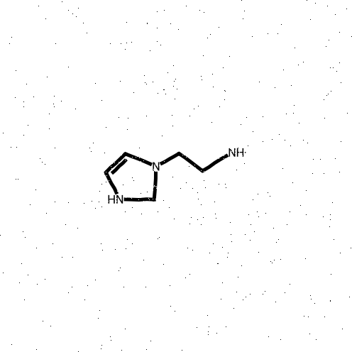 [NH]CCN1C=CNC1